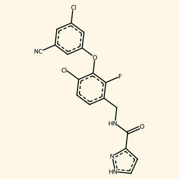 N#Cc1cc(Cl)cc(Oc2c(Cl)ccc(CNC(=O)c3cc[nH]n3)c2F)c1